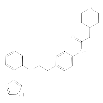 O=C(CC1CCOCC1)Nc1ccc(CCOc2ccccc2-c2c[nH]cn2)cc1